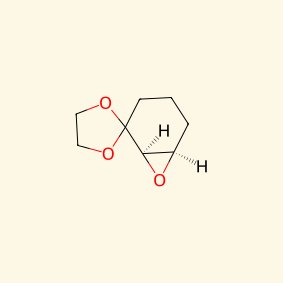 C1C[C@H]2O[C@H]2C2(C1)OCCO2